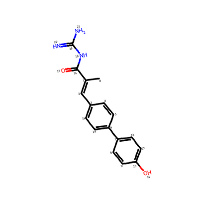 C/C(=C\c1ccc(-c2ccc(O)cc2)cc1)C(=O)NC(=N)N